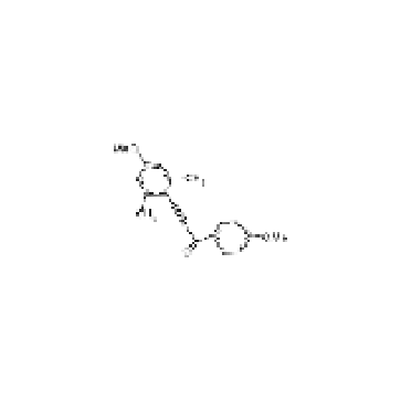 COc1ccc(C(=O)C#Cc2c(C)cc(OC)cc2C)cc1